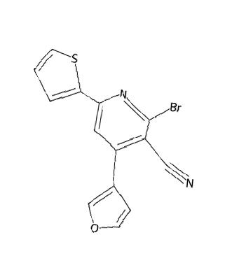 N#Cc1c(-c2ccoc2)cc(-c2cccs2)nc1Br